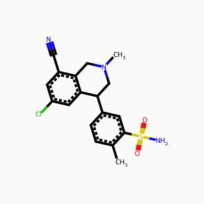 Cc1ccc(C2CN(C)Cc3c(C#N)cc(Cl)cc32)cc1S(N)(=O)=O